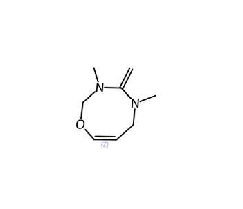 C=C1N(C)C/C=C\OCN1C